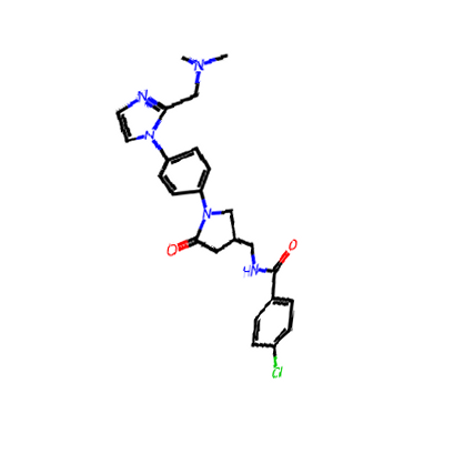 CN(C)Cc1nccn1-c1ccc(N2CC(CNC(=O)c3ccc(Cl)cc3)CC2=O)cc1